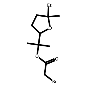 CCC1(C)CCC(C(C)(C)OC(=O)CBr)O1